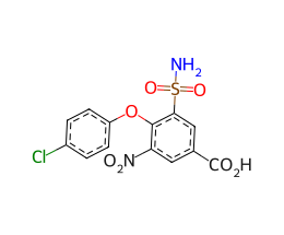 NS(=O)(=O)c1cc(C(=O)O)cc([N+](=O)[O-])c1Oc1ccc(Cl)cc1